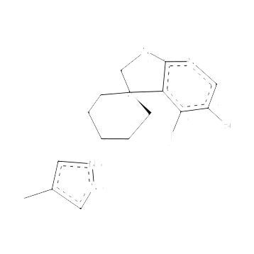 Cc1cnn([C@H]2CC[C@@]3(CC2)CNc2ncc(Br)c(Cl)c23)c1